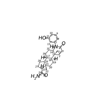 C[C@]12C=CC(=O)N(c3cccc(O)c3)[C@@H]1CC[C@@H]1[C@@H]2CC[C@]2(C)[C@@H](C(N)=O)CC[C@@H]12